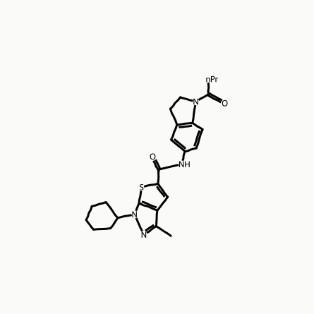 CCCC(=O)N1CCc2cc(NC(=O)c3cc4c(C)nn(C5CCCCC5)c4s3)ccc21